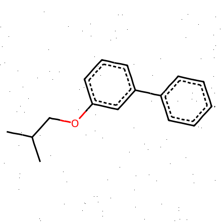 CC(C)COc1cccc(-c2cc[c]cc2)c1